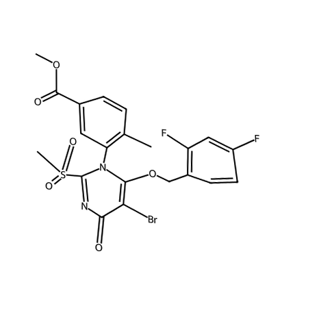 COC(=O)c1ccc(C)c(-n2c(S(C)(=O)=O)nc(=O)c(Br)c2OCc2ccc(F)cc2F)c1